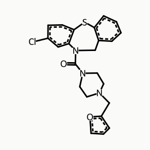 O=C(N1CCN(Cc2ccco2)CC1)N1Cc2ccccc2Sc2ccc(Cl)cc21